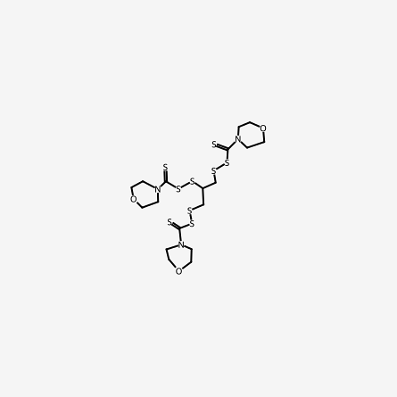 S=C(SSCC(CSSC(=S)N1CCOCC1)SSC(=S)N1CCOCC1)N1CCOCC1